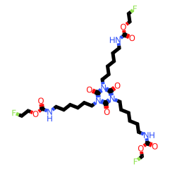 O=C(NCCCCCCn1c(=O)n(CCCCCCNC(=O)OCCF)c(=O)n(CCCCCCNC(=O)OCCF)c1=O)OCF